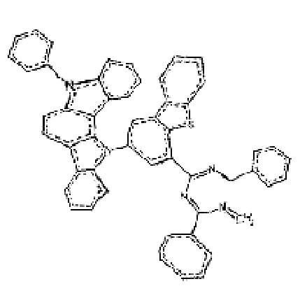 C=N/C(=N\C(=N/Cc1ccccc1)c1cc(-n2c3ccccc3c3ccc4c(c5ccccc5n4-c4ccccc4)c32)cc2c1sc1ccccc12)c1ccccc1